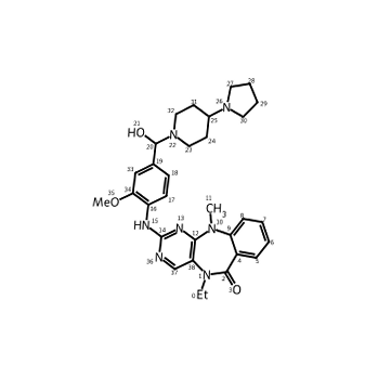 CCN1C(=O)c2ccccc2N(C)c2nc(Nc3ccc(C(O)N4CCC(N5CCCC5)CC4)cc3OC)ncc21